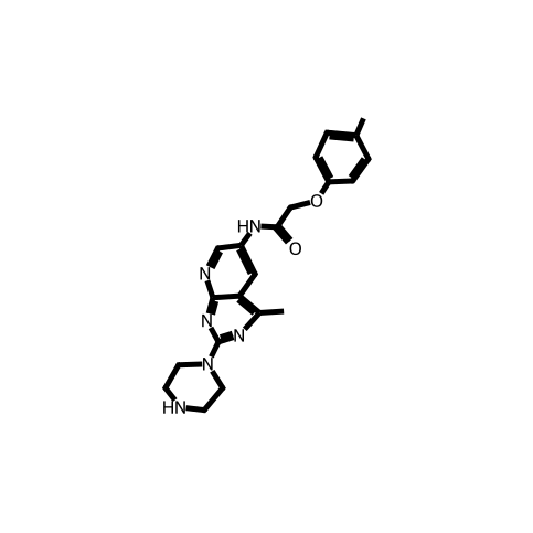 Cc1ccc(OCC(=O)Nc2cnc3nc(N4CCNCC4)nc(C)c3c2)cc1